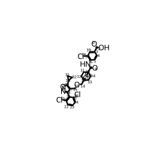 O=C(O)c1ccc(NC(=O)C23CCC(COCc4c(-c5c(Cl)cccc5Cl)noc4C4CC4)(CC2)CC3)c(Cl)c1